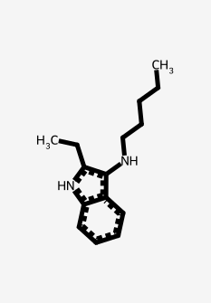 CCCCCNc1c(CC)[nH]c2ccccc12